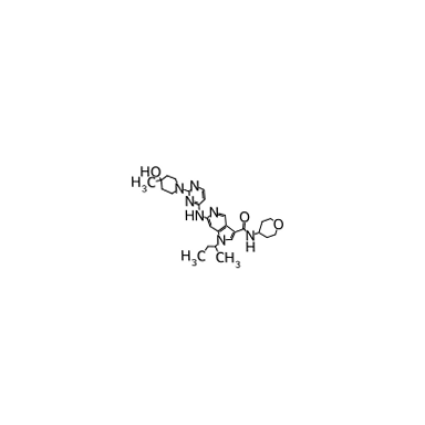 CCC(C)n1cc(C(=O)NC2CCOCC2)c2cnc(Nc3ccnc(N4CCC(C)(O)CC4)n3)cc21